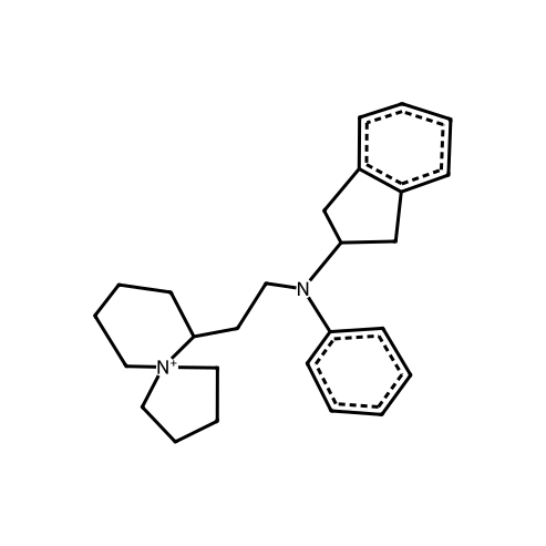 c1ccc(N(CCC2CCCC[N+]23CCCC3)C2Cc3ccccc3C2)cc1